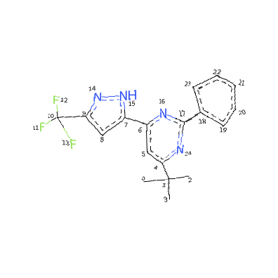 CC(C)(C)c1cc(-c2cc(C(F)(F)F)n[nH]2)nc(-c2ccccc2)n1